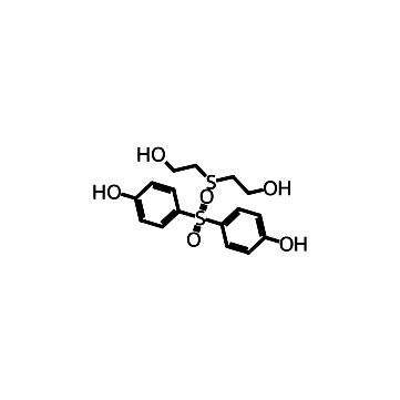 O=S(=O)(c1ccc(O)cc1)c1ccc(O)cc1.OCCSCCO